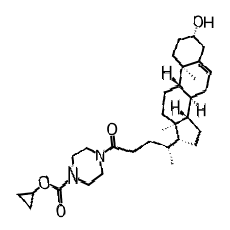 C[C@H](CCC(=O)N1CCN(C(=O)OC2CC2)CC1)[C@H]1CC[C@H]2[C@@H]3CC=C4C[C@@H](O)CC[C@]4(C)[C@H]3CC[C@]12C